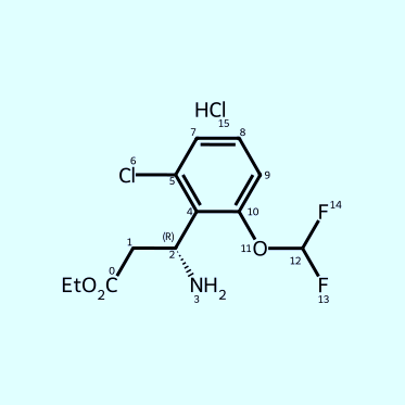 CCOC(=O)C[C@@H](N)c1c(Cl)cccc1OC(F)F.Cl